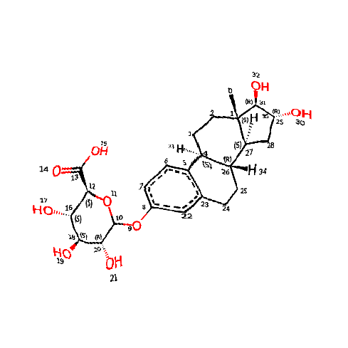 C[C@]12CC[C@@H]3c4ccc(OC5O[C@H](C(=O)O)[C@@H](O)[C@H](O)[C@H]5O)cc4CC[C@H]3[C@@H]1C[C@@H](O)[C@@H]2O